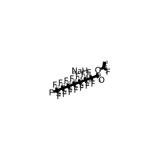 C=C(F)OC(=O)C(F)(F)C(F)(F)C(F)(F)C(F)(F)C(F)(F)C(F)(F)C(F)(F)F.[NaH]